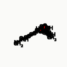 C=NCCCCCC(=O)NCCOCCOCCOCCOCCC(=O)NCC(C)(C)SSCOC1C[C@H](n2cc(C)c(=O)[nH]c2=O)O[C@@H]1COP(=O)(O)OP(=O)(O)OP(=O)(O)O